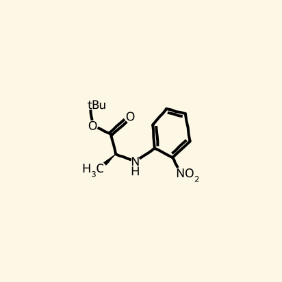 C[C@H](Nc1ccccc1[N+](=O)[O-])C(=O)OC(C)(C)C